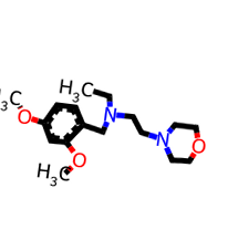 CCN(CCN1CCOCC1)Cc1ccc(OC)cc1OC